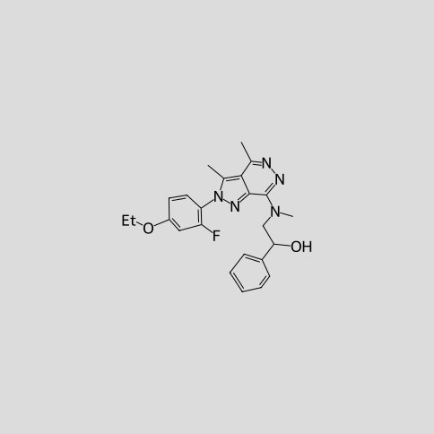 CCOc1ccc(-n2nc3c(N(C)CC(O)c4ccccc4)nnc(C)c3c2C)c(F)c1